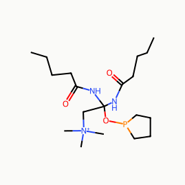 CCCCC(=O)NC(C[N+](C)(C)C)(NC(=O)CCCC)OP1CCCC1